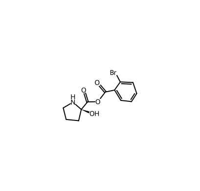 O=C(OC(=O)[C@]1(O)CCCN1)c1ccccc1Br